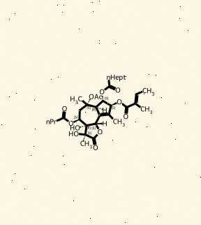 CC=C(C)C(=O)O[C@H]1C(C)=C2[C@H]([C@@H]1OC(=O)CCCCCCC)[C@@](C)(OC(C)=O)C[C@H](OC(=O)CCC)[C@@]1(O)[C@H]2OC(=O)[C@@]1(C)O